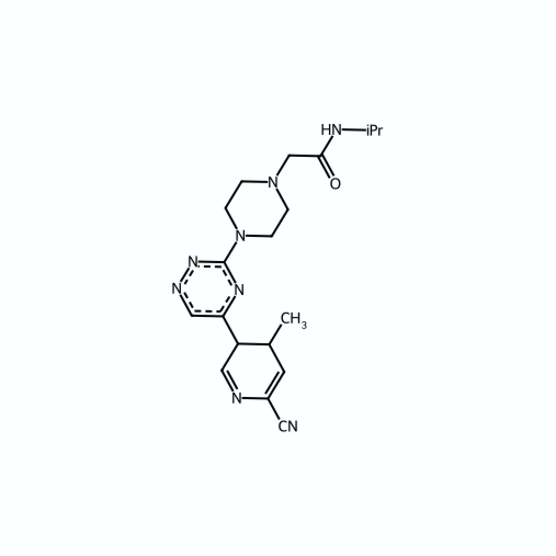 CC(C)NC(=O)CN1CCN(c2nncc(C3C=NC(C#N)=CC3C)n2)CC1